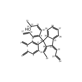 C=C/C=C\C(=C/C=C)C1(C(/C=C\C(C)O)=C/C=C)C(=C/C)/C(=C\C=C)c2ccccc21